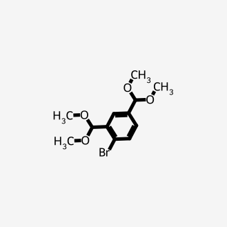 COC(OC)c1ccc(Br)c(C(OC)OC)c1